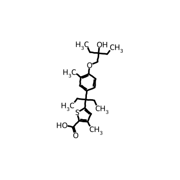 CCC(O)(CC)COc1ccc(C(CC)(CC)c2cc(C)c(C(=O)O)s2)cc1C